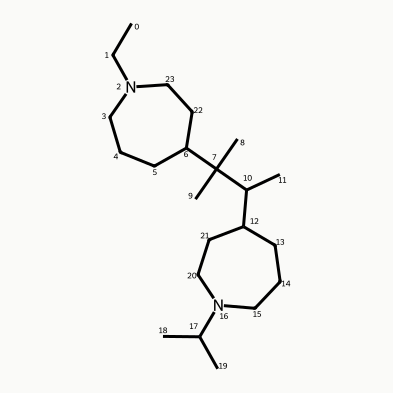 CCN1CCCC(C(C)(C)C(C)C2CCCN(C(C)C)CC2)CC1